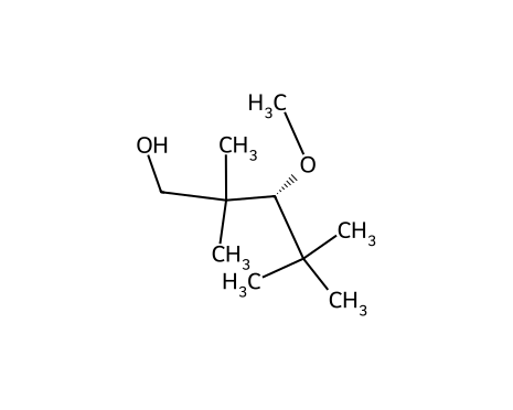 CO[C@H](C(C)(C)C)C(C)(C)CO